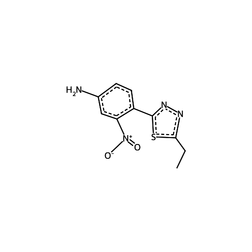 CCc1nnc(-c2ccc(N)cc2[N+](=O)[O-])s1